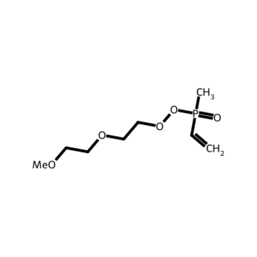 C=CP(C)(=O)OOCCOCCOC